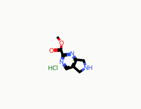 COC(=O)c1ncc2c(n1)CNC2.Cl